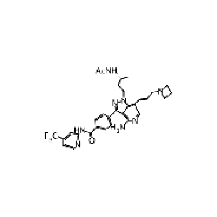 CC(=O)N[C@H](C)CCn1nc(-c2ccc(C(=O)Nc3cc(C(F)(F)F)ccn3)cc2)c2c(N)ncc(/C=C/CN3CCC3)c21